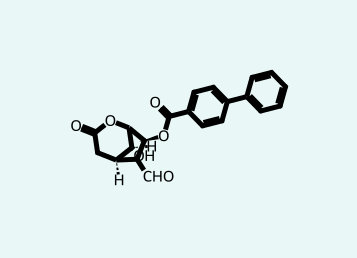 O=CC1[C@H](OC(=O)c2ccc(-c3ccccc3)cc2)C2OC(=O)C[C@H]1[C@@H]2O